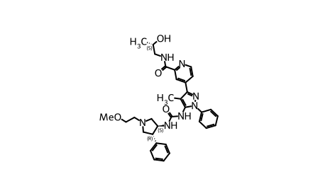 COCCN1C[C@@H](NC(=O)Nc2c(C)c(-c3ccnc(C(=O)NC[C@H](C)O)c3)nn2-c2ccccc2)[C@H](c2ccccc2)C1